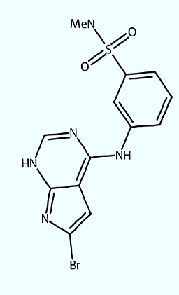 CNS(=O)(=O)c1cccc(Nc2nc[nH]c3nc(Br)cc2-3)c1